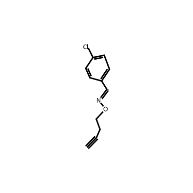 C#CCCON=[C]c1ccc(Cl)cc1